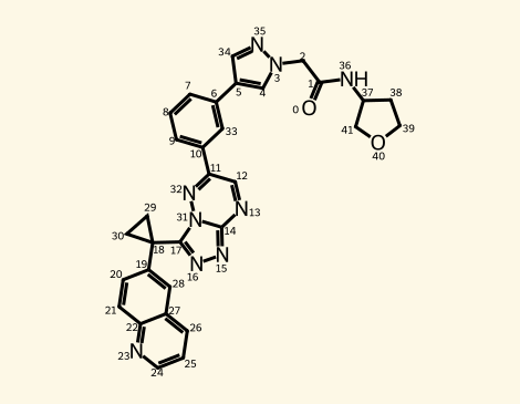 O=C(Cn1cc(-c2cccc(-c3cnc4nnc(C5(c6ccc7ncccc7c6)CC5)n4n3)c2)cn1)NC1CCOC1